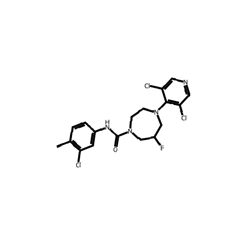 Cc1ccc(NC(=O)N2CCN(c3c(Cl)cncc3Cl)CC(F)C2)cc1Cl